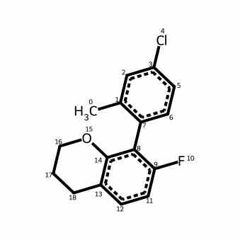 Cc1cc(Cl)ccc1-c1c(F)ccc2c1OCCC2